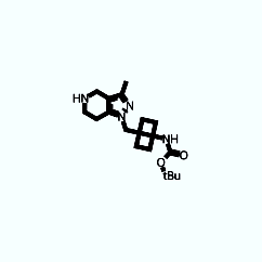 Cc1nn(CC23CCC2(NC(=O)OC(C)(C)C)CC3)c2c1CNCC2